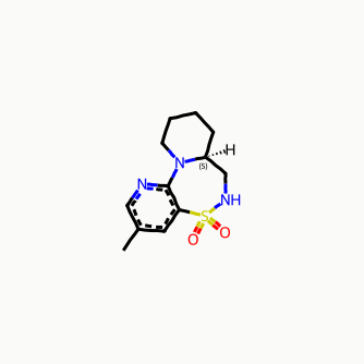 Cc1cnc2c(c1)S(=O)(=O)NC[C@@H]1CCCCN21